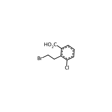 O=C(O)c1cccc(Cl)c1CCBr